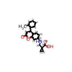 Cc1ccccc1-c1cc(=O)oc2cc(NCC3(C(=O)O)CC3)ccc12